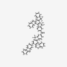 CC1(C)c2cc(Nc3ccc4c(c3)C(C)(C)c3c5c(c6oc7ccccc7c6c3-4)-c3ccccc3C5(C)C)ccc2-c2c1cc(-c1ccc3c(c1)oc1ccccc13)c1c2-c2ccccc2CO1